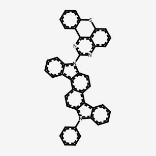 c1ccc(-n2c3ccccc3c3c4ccc5c(c4ccc32)c2ccccc2n5-c2nc3c4c(cccc4n2)Sc2ccccc2-3)cc1